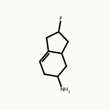 NC1CC=C2CC(F)CC2C1